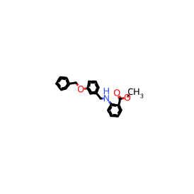 COC(=O)c1ccccc1NCc1cccc(OCc2ccccc2)c1